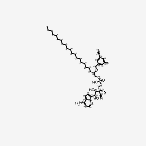 CCCCCCCCCCCCCCCCCCCC[C@H](COP(=O)(O)OC[C@@](C#N)(OC)[C@@H](O)[C@@H](O)c1ccc2c(N)ncnn12)OCc1cc(F)cc(C#N)c1